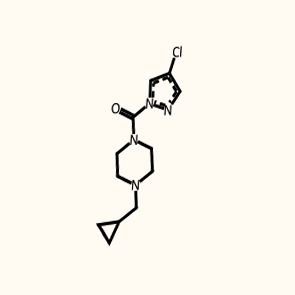 O=C(N1CCN(CC2CC2)CC1)n1cc(Cl)cn1